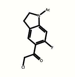 CC(=O)N1CCc2cc(C(=O)CCl)c(F)cc21